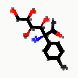 CC(=O)C(=O)[C@@](N)(c1ccc([N+](=O)[O-])cc1)[C@@H](O)[C@H](O)[C@H](O)CO